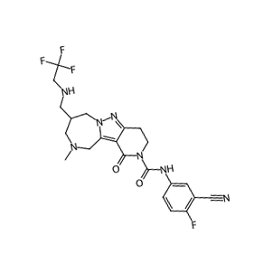 CN1Cc2c3c(nn2CC(CNCC(F)(F)F)C1)CCN(C(=O)Nc1ccc(F)c(C#N)c1)C3=O